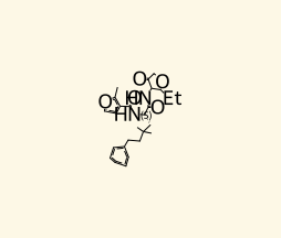 CCC1OCC(=O)C1NC(=O)[C@H](CC(C)(C)CCc1ccccc1)NC(=O)c1ccoc1C